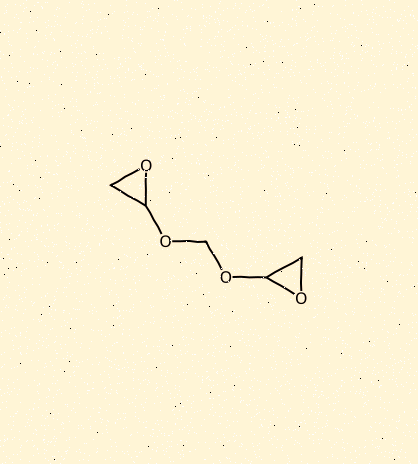 C(OC1CO1)OC1CO1